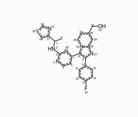 CC(Nc1nccc(-c2c(-c3ccc(F)cc3)nc3cc(CO)ccn23)n1)c1cscn1